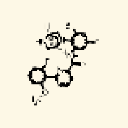 COc1cccc(F)c1-c1nccc(C(=O)Nc2cc(F)cc(Br)c2N2C[C@H]3C[C@@H]2CN3)n1